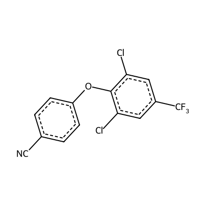 N#Cc1ccc(Oc2c(Cl)cc(C(F)(F)F)cc2Cl)cc1